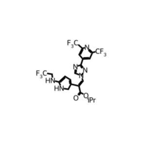 CC(C)OC(=O)/C(=C/n1cnc(-c2cc(C(F)(F)F)nc(C(F)(F)F)c2)n1)C1=CC=C(NCC(F)(F)F)NC1